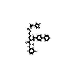 O=C(NC(CCCCN[C@@H]1C[C@H]1c1ccsc1)C(=O)NCc1cccc(Cl)c1)c1ccc(-c2ccccc2)cc1